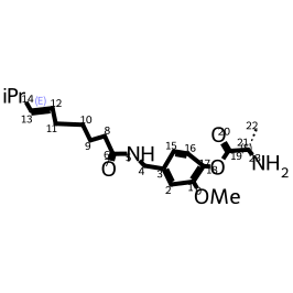 COc1cc(CNC(=O)CCCC/C=C/C(C)C)ccc1OC(=O)[C@H](C)N